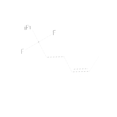 C/C=C\CCC(F)(F)C(C)C